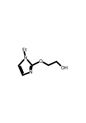 CCn1ccnc1OCCO